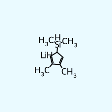 CC1=CC([SiH](C)C)C=C1C.[LiH]